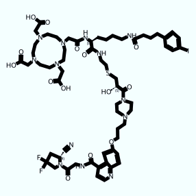 N#C[C@H]1CC(F)(F)CN1C(=O)CNC(=O)c1ccnc2ccc(OCCCN3CCN(C(=O)[C@H](O)CSCCNC(=O)[C@H](CCCCNC(=O)CCCc4ccc(I)cc4)NC(=O)CN4CCN(CC(=O)O)CCN(CC(=O)O)CCN(CC(=O)O)CC4)CC3)cc12